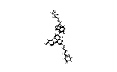 Cc1ccc2c(cnn2COCC[Si](C)(C)C)c1N1CCc2c(nc(OCCCN3CCCCC3)nc2N2CCN(C)CC2)C1